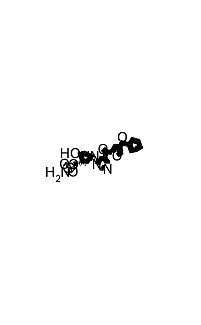 NS(=O)(=O)OC[C@H]1C[C@@H](Nc2ncncc2C(=O)c2cc(C(=O)c3ccccc3)co2)C[C@@H]1O